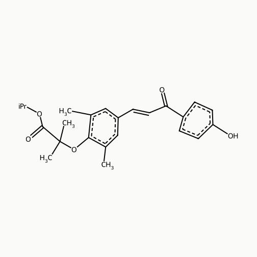 Cc1cc(/C=C/C(=O)c2ccc(O)cc2)cc(C)c1OC(C)(C)C(=O)OC(C)C